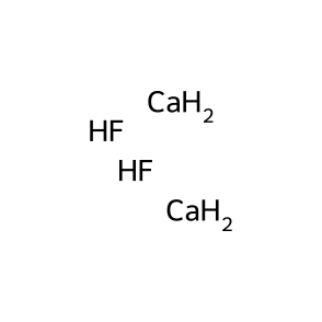 F.F.[CaH2].[CaH2]